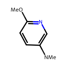 [CH2+][N-]c1ccc(OC)nc1